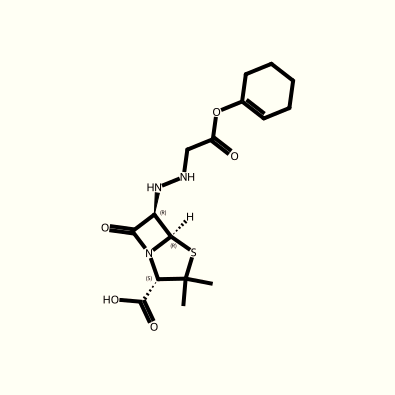 CC1(C)S[C@@H]2[C@H](NNCC(=O)OC3=CCCCC3)C(=O)N2[C@H]1C(=O)O